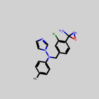 N#Cc1ccc(N(Cc2ccc(C3(N)NO3)c(Br)c2)n2ccnc2)cc1